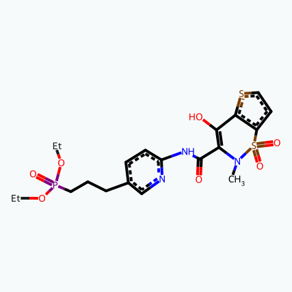 CCOP(=O)(CCCc1ccc(NC(=O)C2=C(O)c3sccc3S(=O)(=O)N2C)nc1)OCC